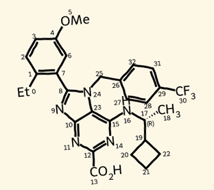 CCc1ccc(OC)cc1-c1nc2nc(C(=O)O)nc(N[C@H](C)C3CCC3)c2n1Cc1ccc(C(F)(F)F)cc1